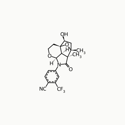 C[C@@]12C[C@H](O)[C@]3(CCO[C@H]4[C@@H]3[C@]1(C)C(=O)N4c1ccc(C#N)c(C(F)(F)F)c1)O2